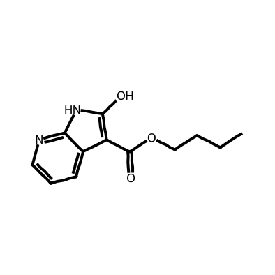 CCCCOC(=O)c1c(O)[nH]c2ncccc12